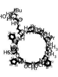 CC(C)C[C@@H]1NC(=O)[C@H](CCCCNC(=O)[C@H](C[S](S)C(C)(C)C)NC(=O)O)NC(=O)[C@H](Cc2ccccc2)NC(=O)C(C[S](S)C(C)(C)C)OC(=O)[C@H](Cc2ccccc2)NC(=O)[C@H](C)NC(=O)[C@H](C)N(C)C(=O)[C@H](Cc2ccccc2)N(C)C(=O)[C@H](C)NC(=O)[C@H](CC(C)C)N(C)C(=O)[C@H](C)N(C)C1=O